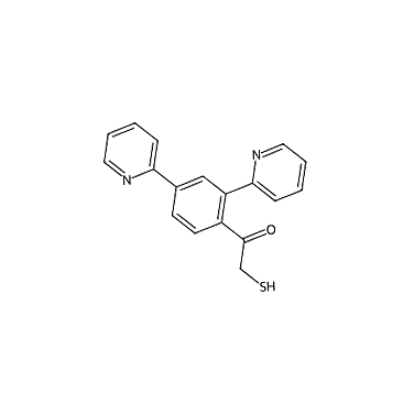 O=C(CS)c1ccc(-c2ccccn2)cc1-c1ccccn1